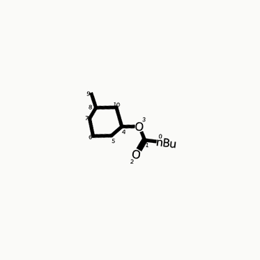 CCCCC(=O)OC1CCCC(C)C1